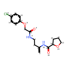 C=C(CCNC(=O)COc1ccc(Cl)cc1)NC(=O)C1CCCO1